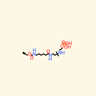 C#CCOC(=O)NCCCCCC(=O)NCCC(C)(C)NCCOP(=O)(O)O